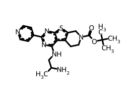 CC(N)CNc1nc(-c2ccncc2)nc2sc3c(c12)CCN(C(=O)OC(C)(C)C)C3